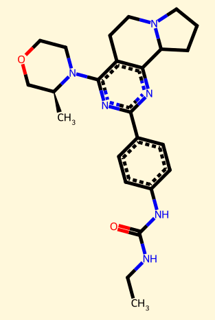 CCNC(=O)Nc1ccc(-c2nc3c(c(N4CCOC[C@@H]4C)n2)CCN2CCCC32)cc1